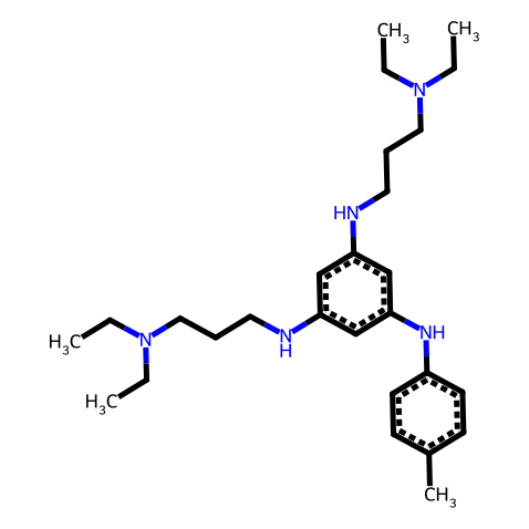 CCN(CC)CCCNc1cc(NCCCN(CC)CC)cc(Nc2ccc(C)cc2)c1